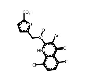 CC(=O)c1c([S+]([O-])Cc2ccc(C(=O)O)o2)[nH]c2c(Cl)ccc(Cl)c2c1=O